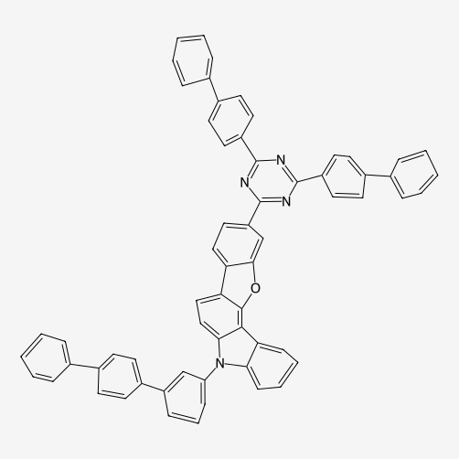 c1ccc(-c2ccc(-c3cccc(-n4c5ccccc5c5c6oc7cc(-c8nc(-c9ccc(-c%10ccccc%10)cc9)nc(-c9ccc(-c%10ccccc%10)cc9)n8)ccc7c6ccc54)c3)cc2)cc1